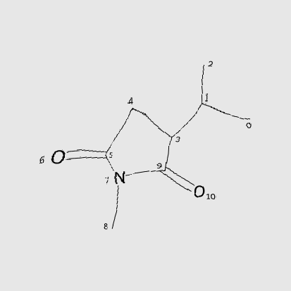 CC(C)C1CC(=O)N(C)C1=O